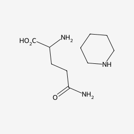 C1CCNCC1.NC(=O)CCC(N)C(=O)O